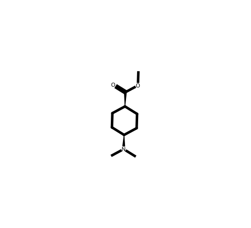 COC(=O)[C@H]1CC[C@@H](N(C)C)CC1